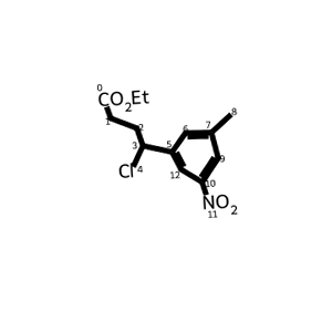 CCOC(=O)CCC(Cl)c1cc(C)cc([N+](=O)[O-])c1